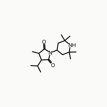 CC(C)C1C(=O)N(C2CC(C)(C)NC(C)(C)C2)C(=O)C1C